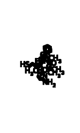 CC(C)OC(=O)C(C)NP(=O)(OC[C@](F)(CCCS)OC(C)n1ccc(N)nc1=O)Oc1ccccc1